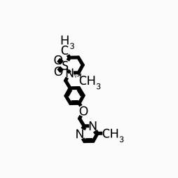 Cc1ccnc(COc2ccc(CN3[C@@H](C)CCC(C)S3(=O)=O)cc2)n1